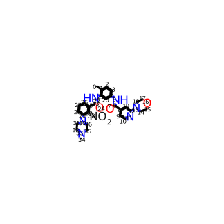 Cc1ccc(NC(=O)c2ccnc(N3CCOCC3)c2)cc1NC(=O)c1cccc(N2CCN(C)CC2)c1[N+](=O)[O-]